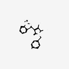 CC(C)(C)C1C(O)=C(C2=NS(=O)(=O)c3ccccc32)C(=O)N1Cc1ccc(F)cc1